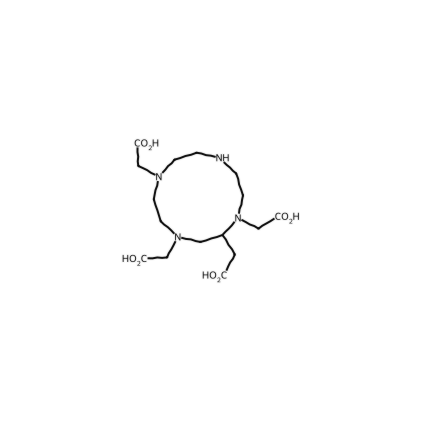 O=C(O)CC1CN(CC(=O)O)CCN(CC(=O)O)CCNCCN1CC(=O)O